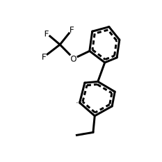 CCc1[c]cc(-c2ccccc2OC(F)(F)F)cc1